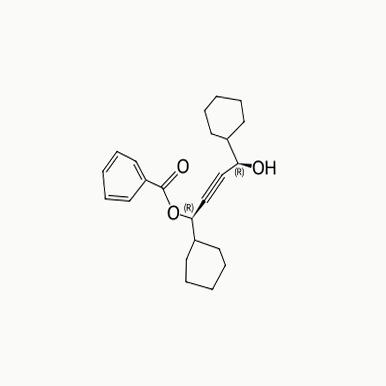 O=C(O[C@@H](C#C[C@H](O)C1CCCCC1)C1CCCCC1)c1ccccc1